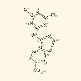 O=S(=O)(O)c1ccc2c(Nc3nc(Cl)nc(Cl)n3)cccc2c1